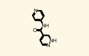 O=C(Nc1ccncc1)C1=CC=NNC1